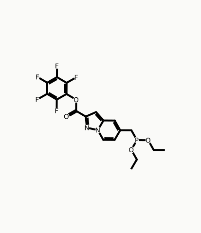 CCOP(Cc1ccn2nc(C(=O)Oc3c(F)c(F)c(F)c(F)c3F)cc2c1)OCC